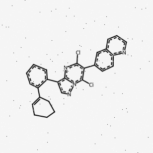 Clc1nc2c(-c3ccccc3C3=CCCCC3)cnn2c(Cl)c1-c1ccc2ncccc2c1